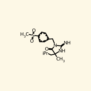 CC(C)CC1(C)NC(=N)N(Cc2ccc(S(C)(=O)=O)cc2)C1=O